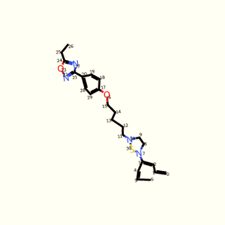 C=C/C=C(\C=C/C)N1CCN(CCCCCOc2ccc(-c3noc(CC)n3)cc2)S1